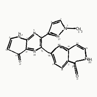 Cn1ccc(-c2nc3[nH]ccc(=O)c3nc2-c2ccc3c(=O)[nH]ccc3c2)n1